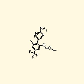 CCOCOc1cc(C(F)(F)F)cc(C)c1-c1cnc(N)nn1